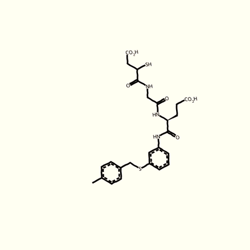 Cc1ccc(CSc2cccc(NC(=O)[C@H](CCC(=O)O)NC(=O)CNC(=O)C(S)CC(=O)O)c2)cc1